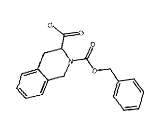 O=C(Cl)C1Cc2ccccc2CN1C(=O)OCc1ccccc1